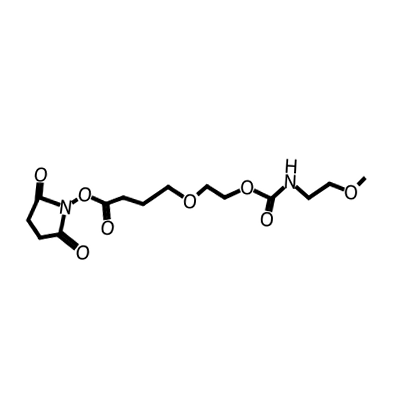 COCCNC(=O)OCCOCCCC(=O)ON1C(=O)CCC1=O